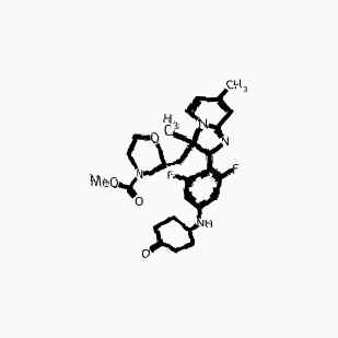 COC(=O)N1CCO[C@@H](CC2(C)C(c3c(F)cc(NC4CCC(=O)CC4)cc3F)N=C3C=C(C)C=CN32)C1